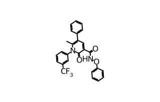 Cc1c(-c2ccccc2)cc(C(=O)NOc2ccccc2)c(=O)n1-c1cccc(C(F)(F)F)c1